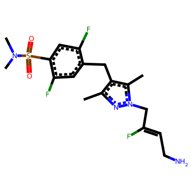 Cc1nn(CC(F)=CCN)c(C)c1Cc1cc(F)c(S(=O)(=O)N(C)C)cc1F